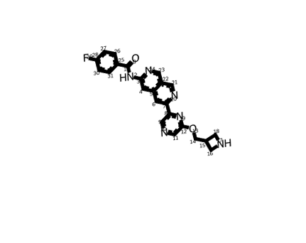 O=C(Nc1cc2cc(-c3cncc(OCC4CNC4)n3)ncc2cn1)c1ccc(F)cc1